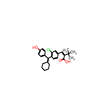 CC(C)(C)C(=Cc1ccc(C(=C2CCCCC2)c2ccc(O)cc2)c(Cl)c1)C(=O)O